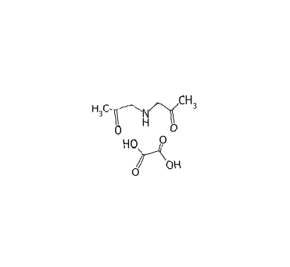 CC(=O)CNCC(C)=O.O=C(O)C(=O)O